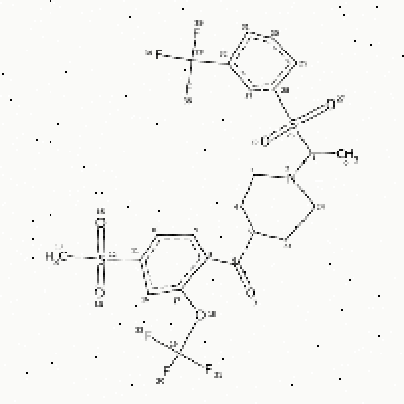 CC(N1CCC(C(=O)c2ccc(S(C)(=O)=O)cc2OC(F)(F)F)CC1)S(=O)(=O)c1cccc(C(F)(F)F)c1